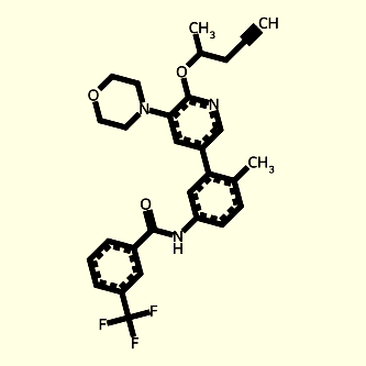 C#CCC(C)Oc1ncc(-c2cc(NC(=O)c3cccc(C(F)(F)F)c3)ccc2C)cc1N1CCOCC1